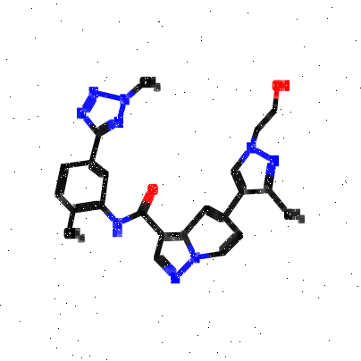 Cc1ccc(-c2nnn(C)n2)cc1NC(=O)c1cnn2ccc(-c3cn(CCO)nc3C)cc12